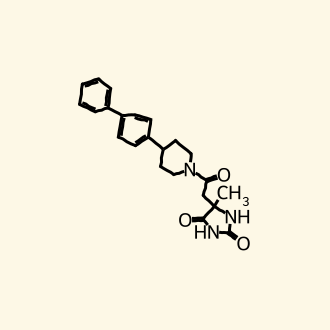 CC1(CC(=O)N2CCC(c3ccc(-c4ccccc4)cc3)CC2)NC(=O)NC1=O